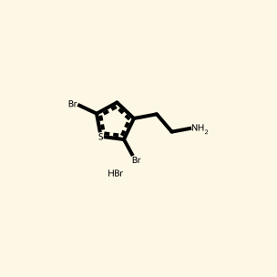 Br.NCCc1cc(Br)sc1Br